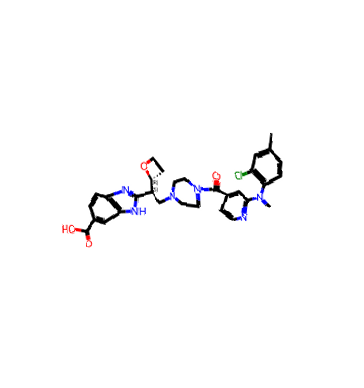 Cc1ccc(N(C)c2cc(C(=O)N3CCN(C[C@@H](c4nc5ccc(C(=O)O)cc5[nH]4)[C@H]4CCO4)CC3)ccn2)c(Cl)c1